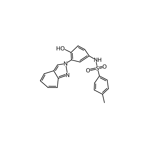 Cc1ccc(S(=O)(=O)Nc2ccc(O)c(-n3cc4ccccc4n3)c2)cc1